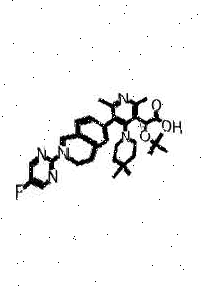 Cc1nc(C)c([C@H](OC(C)(C)C)C(=O)O)c(N2CCC(C)(C)CC2)c1-c1ccc2c(c1)CCN(c1ncc(F)cn1)C2